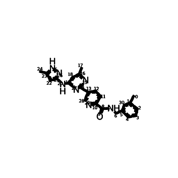 Cc1cccc(CNC(=O)c2ccc(-c3nc(C)cc(Nc4cc(C)[nH]n4)n3)cn2)c1